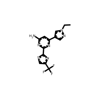 CCn1cc(-c2cc(N)nc(-c3nc(C(F)(F)F)cs3)n2)cn1